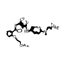 COCCOc1ccccc1-c1nc(C(F)(F)F)c(C(=O)Nc2ccc(N(C)CCOC)nc2)o1